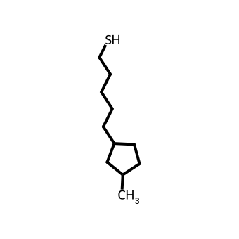 CC1CCC(CCCCCS)C1